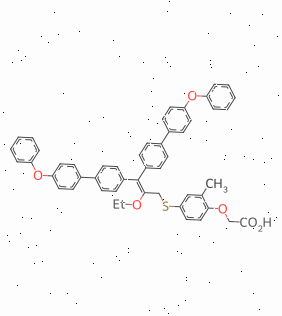 CCOC(CSc1ccc(OCC(=O)O)c(C)c1)=C(c1ccc(-c2ccc(Oc3ccccc3)cc2)cc1)c1ccc(-c2ccc(Oc3ccccc3)cc2)cc1